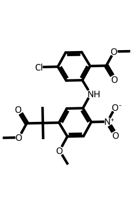 COC(=O)c1ccc(Cl)cc1Nc1cc(C(C)(C)C(=O)OC)c(OC)cc1[N+](=O)[O-]